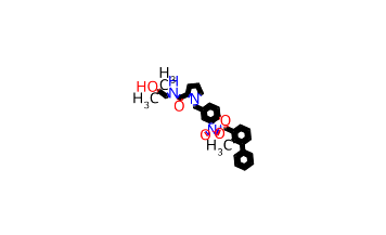 Cc1c(COc2ccc(CN3CCCC3C(=O)NCC(C)(C)O)cc2[N+](=O)[O-])cccc1-c1ccccc1